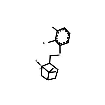 CC1(C)C2CCC(COc3cccc(F)c3C#N)[C@H]1C2